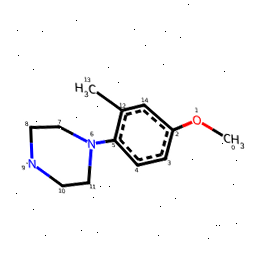 COc1ccc(N2CC[N]CC2)c(C)c1